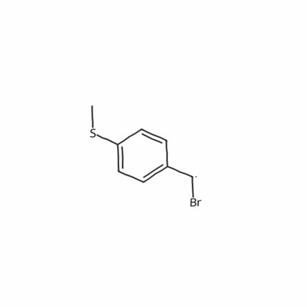 CSc1ccc([CH]Br)cc1